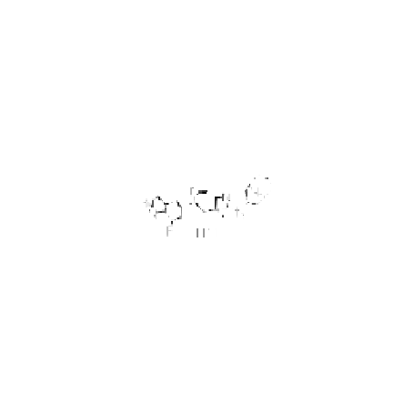 CN(c1nc2cnc(-c3cc(F)c4nn(C)cc4c3)cc2s1)C1CC2CCCC(C1)N2.Cl